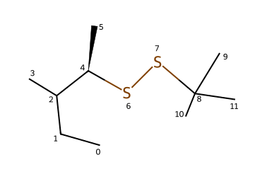 CCC(C)[C@@H](C)SSC(C)(C)C